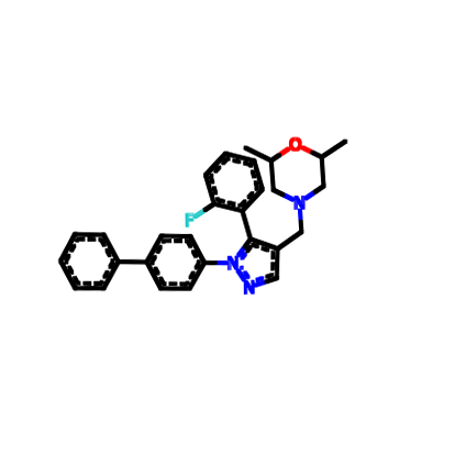 CC1CN(Cc2cnn(-c3ccc(-c4ccccc4)cc3)c2-c2ccccc2F)CC(C)O1